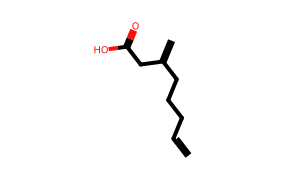 C=CCCCC(=C)CC(=O)O